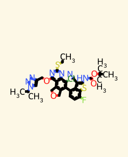 CCSc1nc(OCc2cn(C(C)C)nn2)c2c3c(c(-c4ccc(F)c5sc(NC(=O)OC(C)(C)C)c(C#N)c45)c(Cl)c2n1)COC3